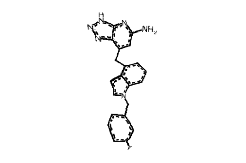 Nc1cc(Cc2cccc3c2ccn3Cc2cccc(F)c2)c2nn[nH]c2n1